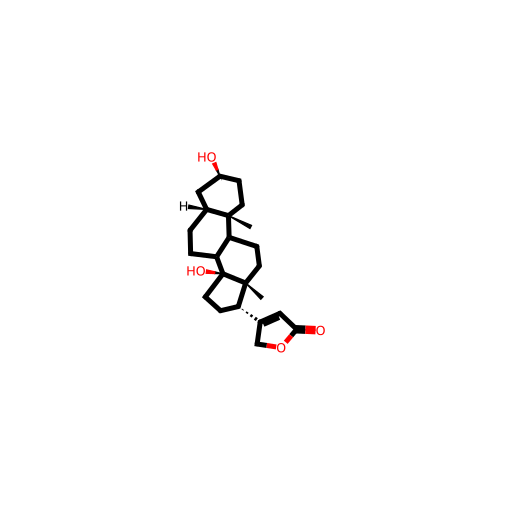 C[C@]12CC[C@H](O)C[C@H]1CCC1C2CC[C@]2(C)[C@H](C3=CC(=O)OC3)CC[C@]12O